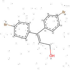 OCC=C(c1ccc(Br)cc1)c1ccc(Br)cc1